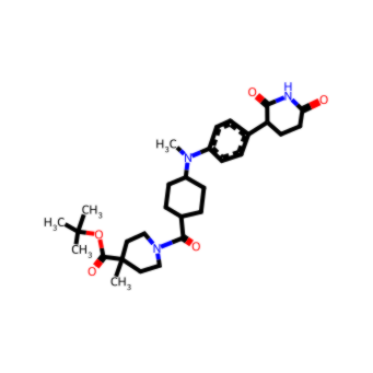 CN(c1ccc(C2CCC(=O)NC2=O)cc1)C1CCC(C(=O)N2CCC(C)(C(=O)OC(C)(C)C)CC2)CC1